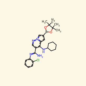 CC1(C)OB(c2cc3c(NC4CCCCC4)c(/C(N)=N/c4ccccc4Cl)cnn3c2)OC1(C)C